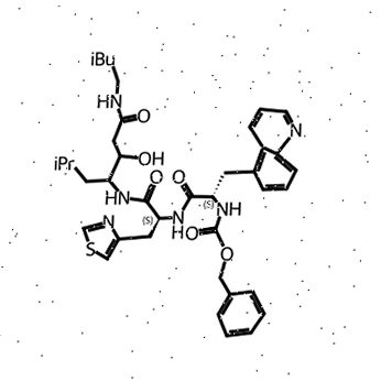 CCC(C)CNC(=O)CC(O)C(CC(C)C)NC(=O)[C@H](Cc1cscn1)NC(=O)[C@H](Cc1cccc2ncccc12)NC(=O)OCc1ccccc1